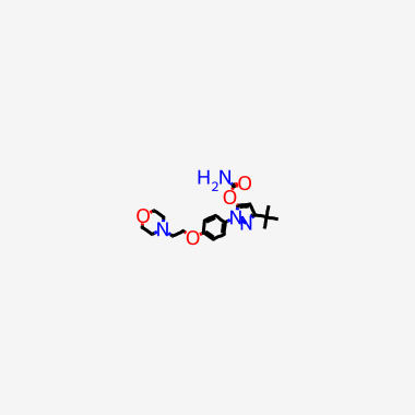 CC(C)(C)c1cc(OC(N)=O)n(-c2ccc(OCCN3CCOCC3)cc2)n1